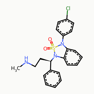 CNCC[C@H](c1ccccc1)N1c2ccccc2N(c2ccc(Cl)cc2)S1(=O)=O